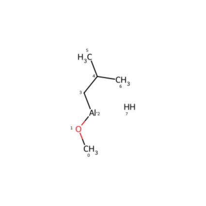 C[O][Al][CH2]C(C)C.[HH]